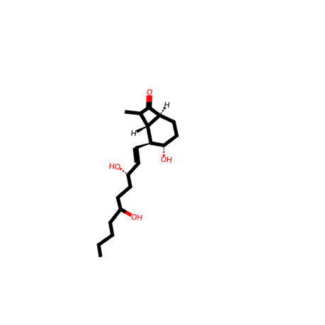 CCCCC(O)CC[C@H](O)/C=C/[C@H]1[C@@H]2C(C)C(=O)[C@H]2CC[C@@H]1O